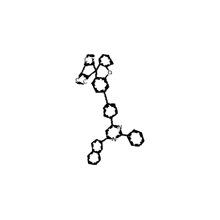 c1ccc(-c2nc(-c3ccc(-c4ccc5c(c4)Oc4ccccc4C54c5ccccc5-c5ccccc54)cc3)cc(-c3ccc4ccccc4c3)n2)cc1